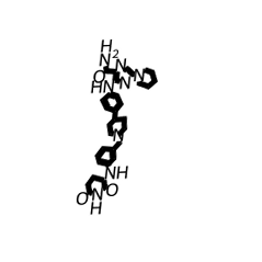 NC(=O)c1ncc(N2CCCCC2)nc1Nc1ccc(C2CCN(Cc3cccc(NC4CCC(=O)NC4=O)c3)CC2)cc1